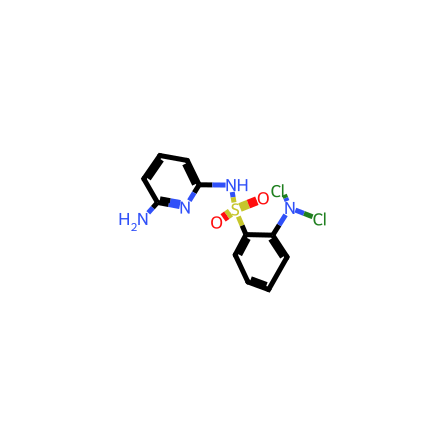 Nc1cccc(NS(=O)(=O)c2ccccc2N(Cl)Cl)n1